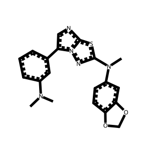 CN(C)c1cccc(-c2cnc3sc(N(C)c4ccc5c(c4)OCO5)nn23)c1